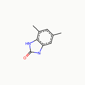 Cc1cc(C)c2c(c1)[N]C(=O)N2